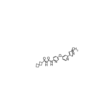 Cn1cc(-c2cc(Oc3ccc(NC(=O)NC(=O)C4CC5(CCC5)C4)nc3)ccn2)cn1